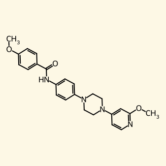 COc1ccc(C(=O)Nc2ccc(N3CCN(c4ccnc(OC)c4)CC3)cc2)cc1